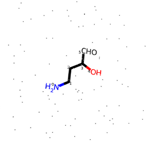 NCCC(O)C=O